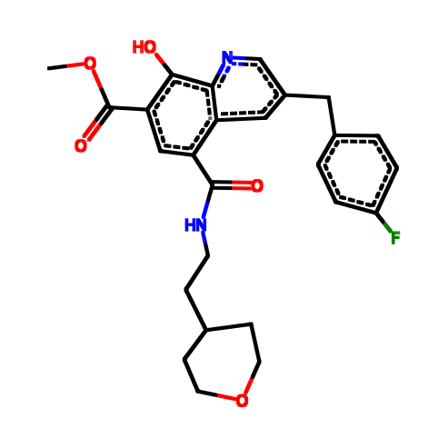 COC(=O)c1cc(C(=O)NCCC2CCOCC2)c2cc(Cc3ccc(F)cc3)cnc2c1O